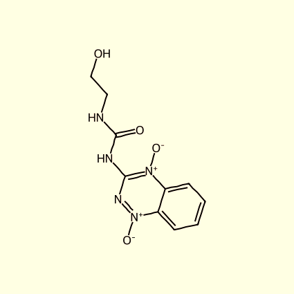 O=C(NCCO)Nc1n[n+]([O-])c2ccccc2[n+]1[O-]